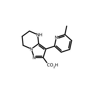 Cc1cccc(-c2c(C(=O)O)nn3c2NCCC3)n1